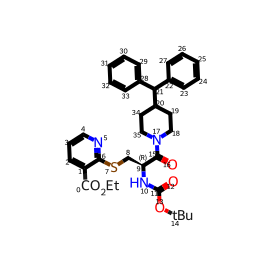 CCOC(=O)c1cccnc1SC[C@H](NC(=O)OC(C)(C)C)C(=O)N1CCC(C(c2ccccc2)c2ccccc2)CC1